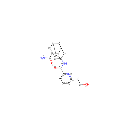 NC(=O)C12CC3CC(CC(NC(=O)c4cccc(CCO)n4)(C3)C1)C2